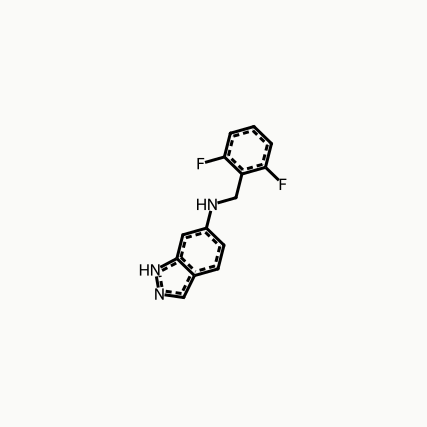 Fc1cccc(F)c1CNc1ccc2cn[nH]c2c1